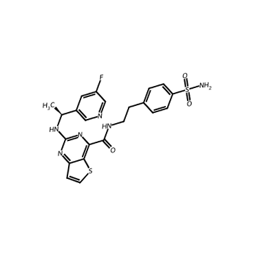 C[C@H](Nc1nc(C(=O)NCCc2ccc(S(N)(=O)=O)cc2)c2sccc2n1)c1cncc(F)c1